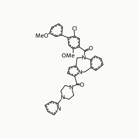 COc1cccc(-c2cc(OC)c(C(=O)N3Cc4ccc(C(=O)N5CCN(c6ccccn6)CC5)n4Cc4ccccc43)cc2Cl)c1